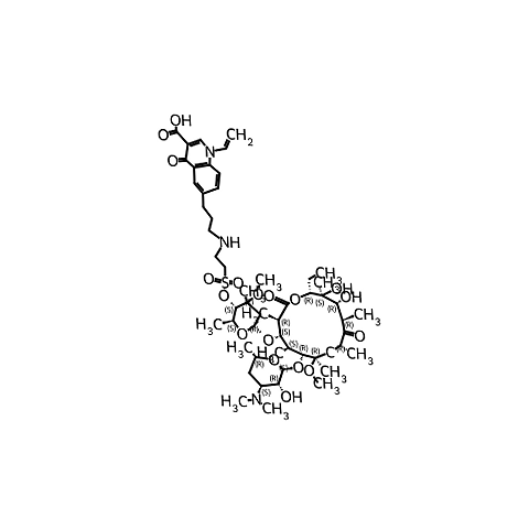 C=Cn1cc(C(=O)O)c(=O)c2cc(CCCNCCS(=O)(=O)O[C@H]3[C@H](C)O[C@@H](O[C@H]4[C@H](C)[C@@H](O[C@@H]5O[C@H](C)C[C@H](N(C)C)[C@H]5O)[C@](C)(OC)C[C@@H](C)C(=O)[C@H](C)[C@@H](O)[C@](C)(O)[C@@H](CC)OC(=O)[C@@H]4C)C[C@@]3(C)OC)ccc21